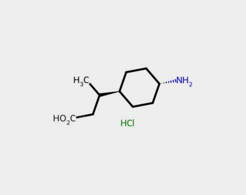 CC(CC(=O)O)[C@H]1CC[C@H](N)CC1.Cl